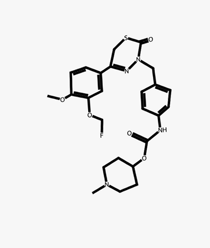 COc1ccc(C2=NN(Cc3ccc(NC(=O)OC4CCN(C)CC4)cc3)C(=O)SC2)cc1OCF